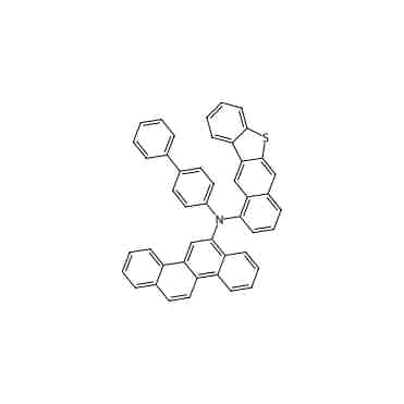 c1ccc(-c2ccc(N(c3cccc4cc5sc6ccccc6c5cc34)c3cc4c5ccccc5ccc4c4ccccc34)cc2)cc1